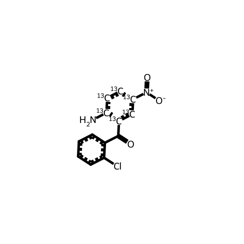 N[13c]1[13cH][13cH][13c]([N+](=O)[O-])[13cH][13c]1C(=O)c1ccccc1Cl